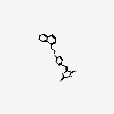 O=C1NC(=O)C(=Cc2ccc(OCCc3cccc4ccccc34)cc2)S1